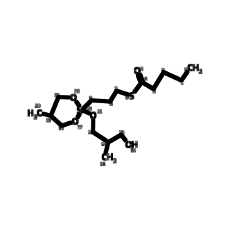 CCCCC(=O)SCCC[Si]1(OCC(C)CO)OCC(C)CO1